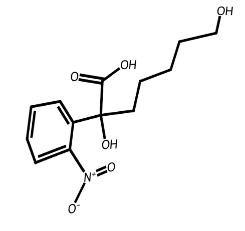 O=C(O)C(O)(CCCCCO)c1ccccc1[N+](=O)[O-]